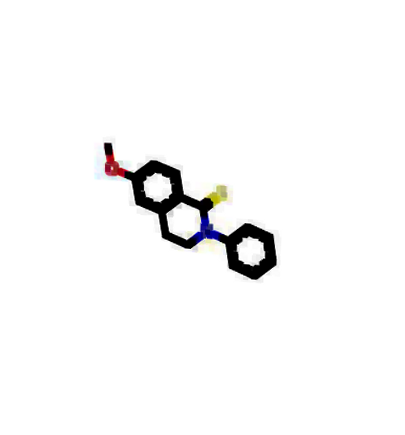 COc1ccc2c(c1)CCN(c1ccccc1)C2=S